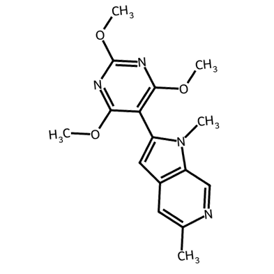 COc1nc(OC)c(-c2cc3cc(C)ncc3n2C)c(OC)n1